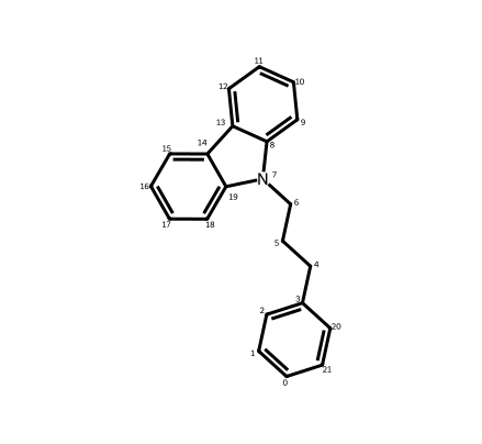 c1ccc(CCCn2c3ccccc3c3ccccc32)cc1